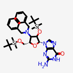 CC(C)(C)[Si](C)(C)OC[C@H]1O[C@@H](n2cnc3c(=O)[nH]c(N)nc32)C(O[Si](C)(C)C(C)(C)C)C1N(Cc1ccccc1)Cc1ccccc1